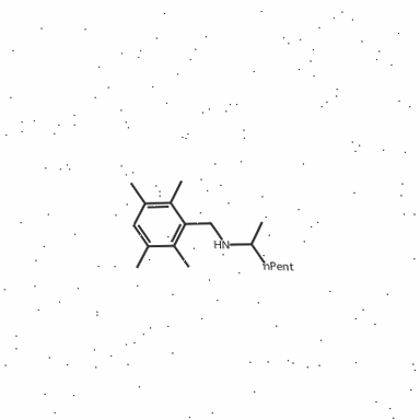 CCCCCC(C)NCc1c(C)c(C)cc(C)c1C